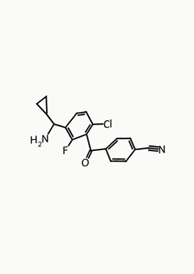 N#Cc1ccc(C(=O)c2c(Cl)ccc(C(N)C3CC3)c2F)cc1